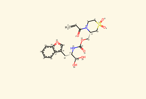 C=CC(=O)N1CCS(=O)(=O)C[C@@H]1COC(=O)N[C@@H](Cc1coc2ccccc12)B(O)O